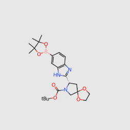 CC(C)(C)OC(=O)N1CC2(C[C@H]1c1nc3ccc(B4OC(C)(C)C(C)(C)O4)cc3[nH]1)OCCO2